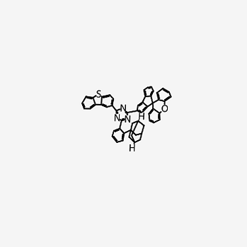 c1ccc2c(c1)Oc1ccccc1C21c2ccccc2-c2cc(-c3nc(-c4ccc5sc6ccccc6c5c4)nc(-c4ccccc4C45CC6C[C@H](C4)C[C@H](C6)C5)n3)ccc21